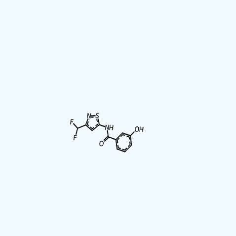 O=C(Nc1cc(C(F)F)ns1)c1cccc(O)c1